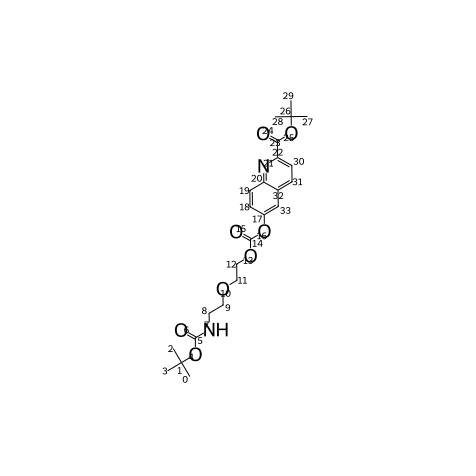 CC(C)(C)OC(=O)NCCOCCOC(=O)Oc1ccc2nc(C(=O)OC(C)(C)C)ccc2c1